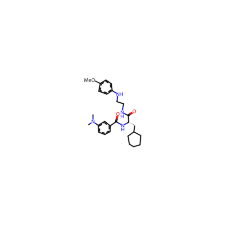 COc1ccc(NCCNC(=O)[C@H](CC2CCCCC2)NC(=O)c2cccc(N(C)C)c2)cc1